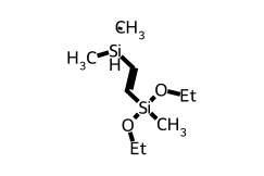 CCO[Si](C)(C=C[SiH](C)C)OCC